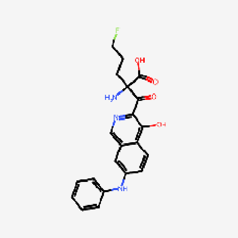 NC(CCCF)(C(=O)O)C(=O)c1ncc2cc(Nc3ccccc3)ccc2c1O